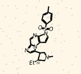 CC[C@@H]1CN(C)CC1c1cnc2cnc3c(ccn3S(=O)(=O)c3ccc(C)cc3)n12